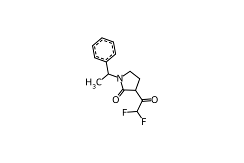 CC(c1ccccc1)N1CCC(C(=O)C(F)F)C1=O